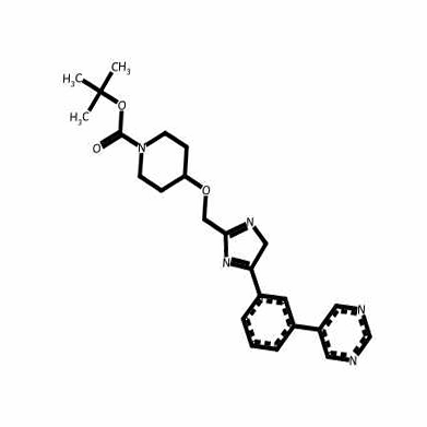 CC(C)(C)OC(=O)N1CCC(OCC2=NCC(c3cccc(-c4cncnc4)c3)=N2)CC1